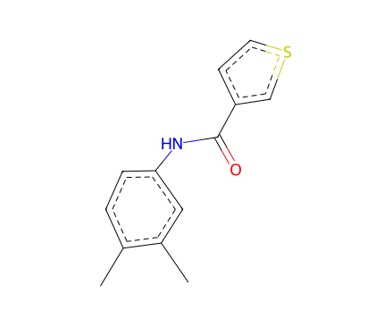 Cc1ccc(NC(=O)c2ccsc2)cc1C